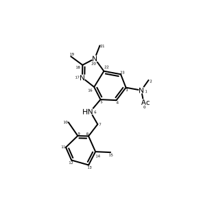 CC(=O)N(C)c1cc(NCc2c(C)cccc2C)c2nc(C)n(C)c2c1